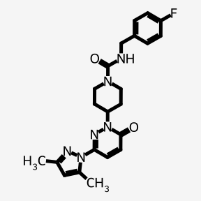 Cc1cc(C)n(-c2ccc(=O)n(C3CCN(C(=O)NCc4ccc(F)cc4)CC3)n2)n1